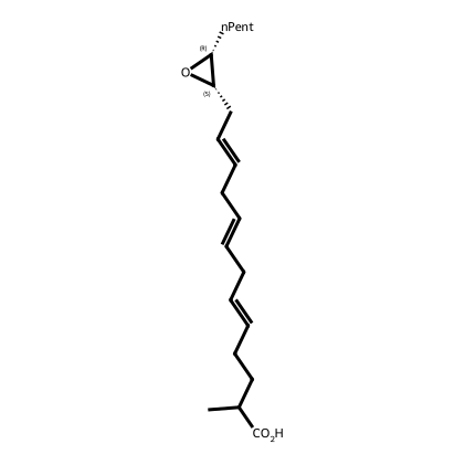 CCCCC[C@H]1O[C@H]1CC=CCC=CCC=CCCC(C)C(=O)O